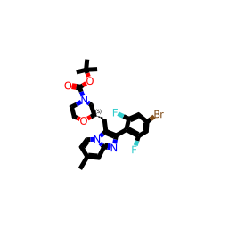 Cc1ccn2c(C[C@H]3CN(C(=O)OC(C)(C)C)CCO3)c(-c3c(F)cc(Br)cc3F)nc2c1